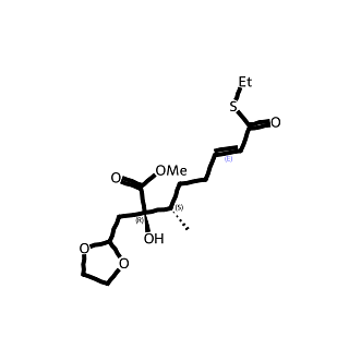 CCSC(=O)/C=C/CC[C@H](C)[C@](O)(CC1OCCO1)C(=O)OC